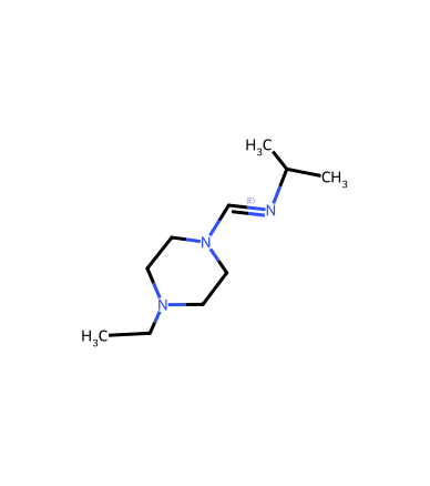 CCN1CCN(/C=N/C(C)C)CC1